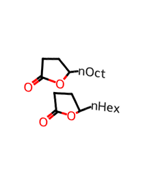 CCCCCCC1CCC(=O)O1.CCCCCCCCC1CCC(=O)O1